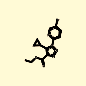 CCOC(=O)c1nnn(-c2ccc(Br)cn2)c1C1CC1